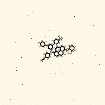 C[Si](C)(C)c1ccc(-c2cc(-c3ccccc3)cc(N(c3ccc(C#N)cc3)c3ccc4ccc5c(N6CCc7ccccc76)ccc6ccc3c4c65)c2)cc1